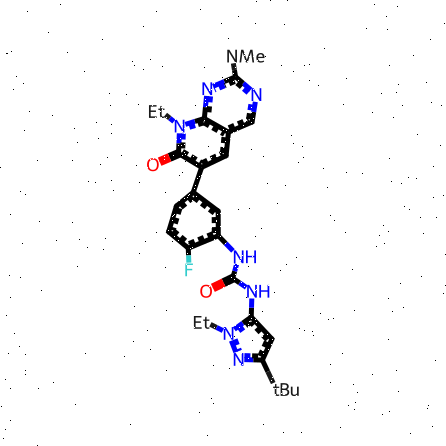 CCn1nc(C(C)(C)C)cc1NC(=O)Nc1cc(-c2cc3cnc(NC)nc3n(CC)c2=O)ccc1F